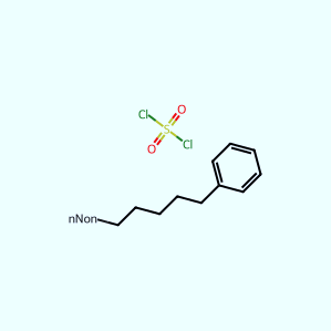 CCCCCCCCCCCCCCc1ccccc1.O=S(=O)(Cl)Cl